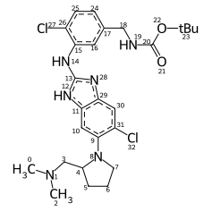 CN(C)CC1CCCN1c1cc2[nH]c(Nc3cc(CNC(=O)OC(C)(C)C)ccc3Cl)nc2cc1Cl